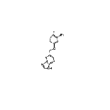 CC(C)c1cc(OCc2ccc3[nH]cnc3c2)ccc1F